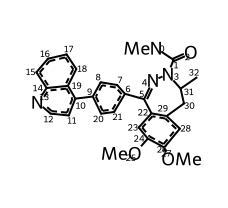 CNC(=O)N1N=C(c2ccc(-c3ccnc4ccccc34)cc2)c2cc(OC)c(OC)cc2CC1C